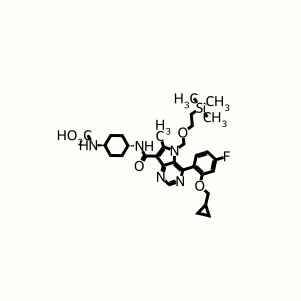 Cc1c(C(=O)N[C@H]2CC[C@H](NC(=O)O)CC2)c2ncnc(-c3ccc(F)cc3OCC3CC3)c2n1COCC[Si](C)(C)C